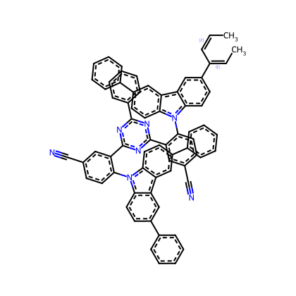 C/C=C\C(=C/C)c1ccc2c(c1)c1cc(-c3ccccc3)ccc1n2-c1ccc(C#N)cc1-c1nc(-c2ccccc2)nc(-c2cc(C#N)ccc2-n2c3ccc(-c4ccccc4)cc3c3cc(-c4ccccc4)ccc32)n1